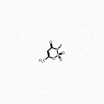 CC1=CC(=O)N(F)S(=O)(=O)O1